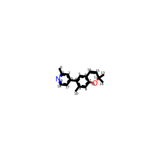 Cc1cc(-c2cc3c(cc2C)OC(C)(C)C=C3)ccn1